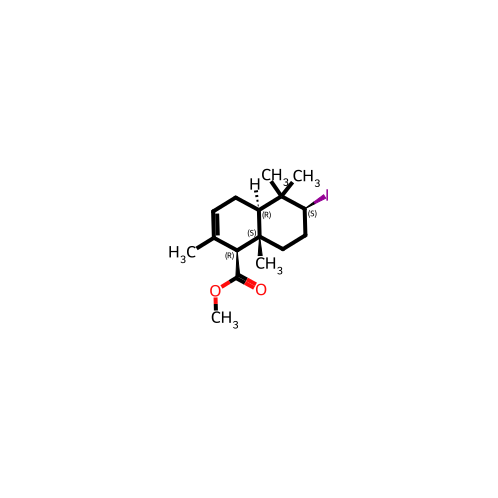 COC(=O)[C@H]1C(C)=CC[C@H]2C(C)(C)[C@@H](I)CC[C@]12C